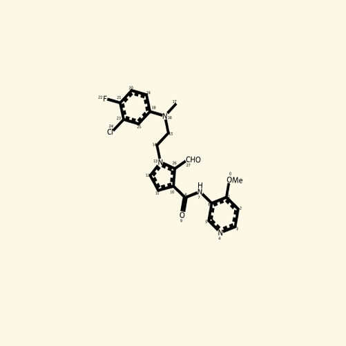 COc1ccncc1NC(=O)c1ccn(CCN(C)c2ccc(F)c(Cl)c2)c1C=O